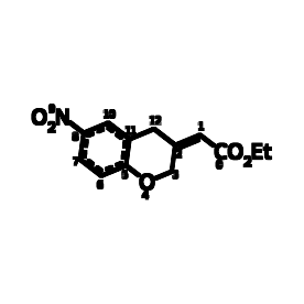 CCOC(=O)C=C1COc2ccc([N+](=O)[O-])cc2C1